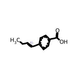 CC/C=C/c1ccc(C(=O)O)cc1